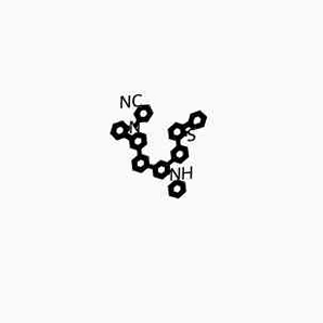 N#Cc1cccc(-n2c3ccccc3c3cc(-c4cccc(-c5ccc(Nc6ccccc6)c(-c6cccc(-c7cccc8c7sc7ccccc78)c6)c5)c4)ccc32)c1